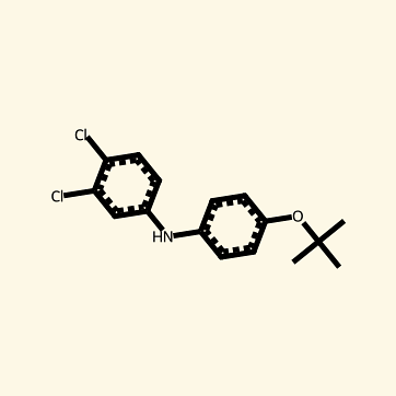 CC(C)(C)Oc1ccc(Nc2ccc(Cl)c(Cl)c2)cc1